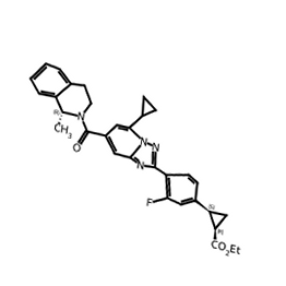 CCOC(=O)[C@@H]1C[C@@H]1c1ccc(-c2nc3cc(C(=O)N4CCc5ccccc5[C@H]4C)cc(C4CC4)n3n2)c(F)c1